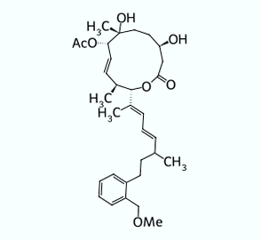 COCc1ccccc1CCC(C)/C=C/C=C(\C)[C@H]1OC(=O)C[C@H](O)CC[C@@](C)(O)[C@@H](OC(C)=O)/C=C/[C@@H]1C